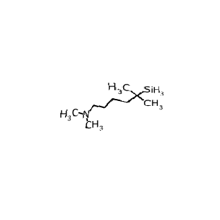 CN(C)CCCCC(C)(C)[SiH3]